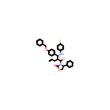 C=CCC(C(=O)N1C(=O)OCC1c1ccccc1)[C@H](Nc1ccc(F)cc1)c1ccc(OCc2ccccc2)cc1